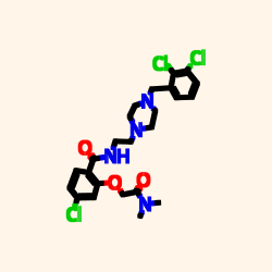 CN(C)C(=O)COc1cc(Cl)ccc1C(=O)NCCN1CCN(Cc2cccc(Cl)c2Cl)CC1